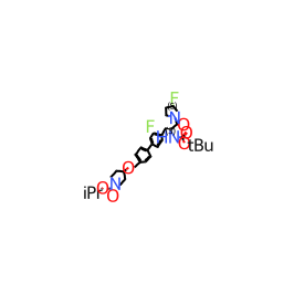 CC(C)OC(=O)N1CCC(OCc2ccc(-c3ccc(C[C@H](NC(=O)OC(C)(C)C)C(=O)N4CC[C@H](F)C4)c(F)c3)cc2)CC1